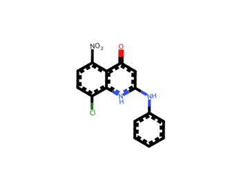 O=c1cc(Nc2ccccc2)[nH]c2c(Cl)ccc([N+](=O)[O-])c12